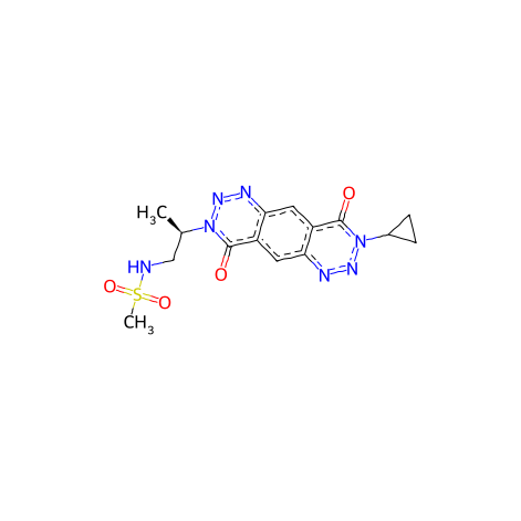 C[C@H](CNS(C)(=O)=O)n1nnc2cc3c(=O)n(C4CC4)nnc3cc2c1=O